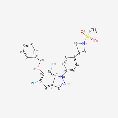 CS(=O)(=O)N1CC(c2ccc(-n3ncc4cc(F)c(OCc5ccccc5)c(F)c43)cc2)C1